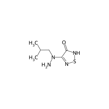 CC(C)CN(N)c1ns[nH]c1=O